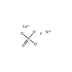 O=P([O-])([O-])[O-].[Ca+2].[F-].[Sr+2]